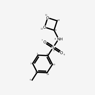 Cc1ccc(S(=O)(=O)NC2COO2)cc1